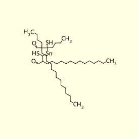 CCCCCCCCCCCCCCC(C=O)[CH](S)[Sn][C](S)(CCCC)C(C=O)(CCCC)CCCCCCCCCCCCCC